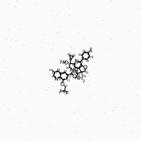 Cc1cnc2c(OCC(F)F)cc(C(=O)NC[C@](O)(c3cc4c(c(-c5ccc(F)cc5)n3)OC[C@]4(C)C(N)=O)C3CC3)cc2c1